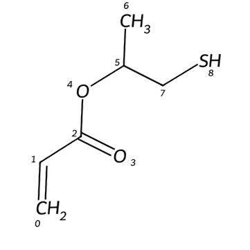 C=CC(=O)OC(C)CS